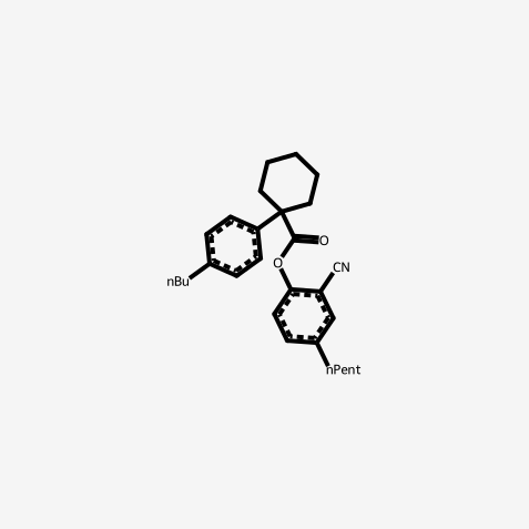 CCCCCc1ccc(OC(=O)C2(c3ccc(CCCC)cc3)CCCCC2)c(C#N)c1